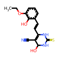 CCOc1cccc(/C=C/C2=C(C#N)C(O)NC(=S)N2)c1O